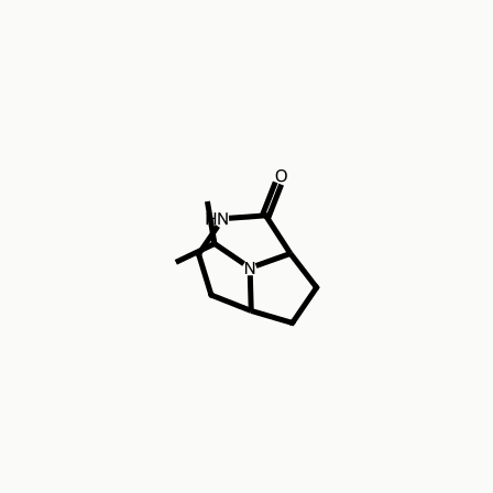 CC(C)N1C2CCNC(=O)C1CC2